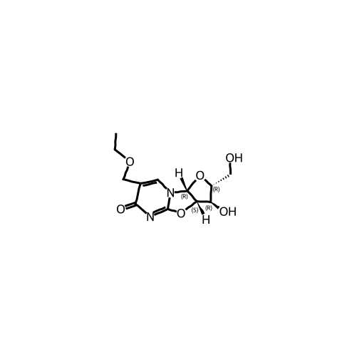 CCOCc1cn2c(nc1=O)O[C@H]1[C@H](O)[C@@H](CO)O[C@H]12